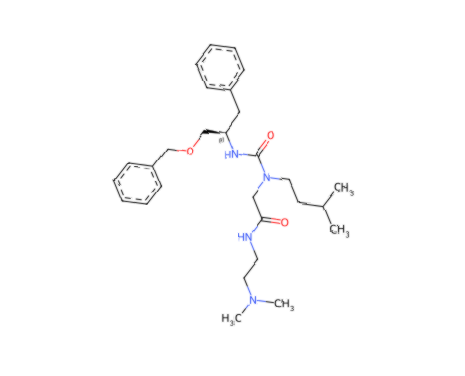 CC(C)CCN(CC(=O)NCCN(C)C)C(=O)N[C@@H](COCc1ccccc1)Cc1ccccc1